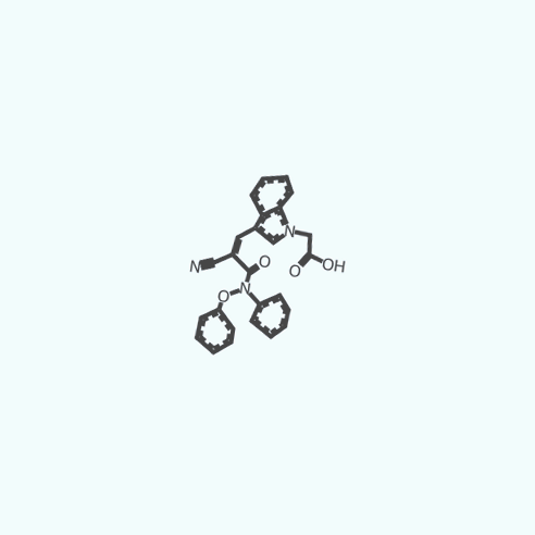 N#CC(=Cc1cn(CC(=O)O)c2ccccc12)C(=O)N(Oc1ccccc1)c1ccccc1